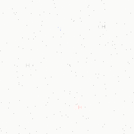 C=CCC(C#N)(CC=C)c1cccc(O)c1